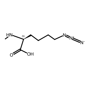 CN[C@@H](CCCCN=[N+]=[N-])C(=O)O